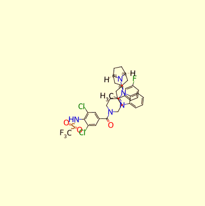 Cc1nc2ccccc2n1[C@H]1C[C@H]2CC[C@@H](C1)N2CCC1(c2cccc(F)c2)CCN(C(=O)c2cc(Cl)c(NS(=O)(=O)C(F)(F)F)c(Cl)c2)CC1